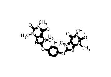 Cn1c(=O)c2c(nc(Oc3ccc(Oc4nc5c(c(=O)n(C)c(=O)n5C)n4C)cc3)n2C)n(C)c1=O